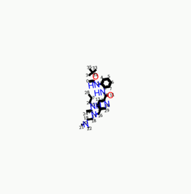 C=C(Nc1ccccc1NC(=O)c1ccc(CN(CCN(C)C)C(=C)NCCC)cn1)OC(C)(C)C